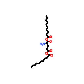 CCCCCCCCCC(=O)OC(=O)CCC(N)C(=O)OC(=O)CCCCCCCCC